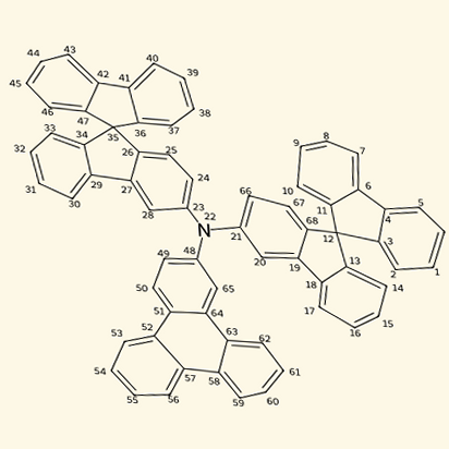 c1ccc2c(c1)-c1ccccc1C21c2ccccc2-c2cc(N(c3ccc4c(c3)-c3ccccc3C43c4ccccc4-c4ccccc43)c3ccc4c5ccccc5c5ccccc5c4c3)ccc21